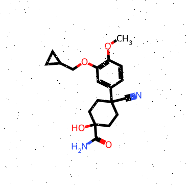 COc1ccc(C2(C#N)CCC(O)(C(N)=O)CC2)cc1OCC1CC1